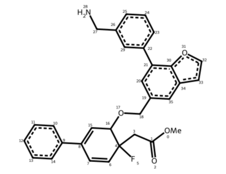 COC(=O)CC1(F)C=CC(c2ccccc2)=CC1OCc1cc(-c2cccc(CN)c2)c2occc2c1